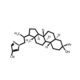 CCC[C@@]1(O)CC[C@H]2[C@@H](CC[C@@H]3[C@@H]2CC[C@]2(C)C(C(C)Cn4cc(C#N)cn4)CC[C@@H]32)C1